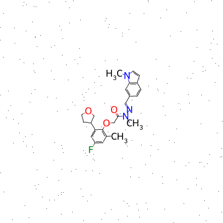 Cc1cc(F)cc(C2CCOC2)c1OCC(=O)N(C)/N=C/c1ccc2ccn(C)c2c1